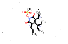 C=C/C=C1/C(=O)N(OS(C)(=O)=O)C(=O)C(/C=C\C)=C1/C(C=C)=C\C